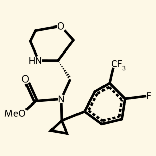 COC(=O)N(C[C@H]1COCCN1)C1(c2ccc(F)c(C(F)(F)F)c2)CC1